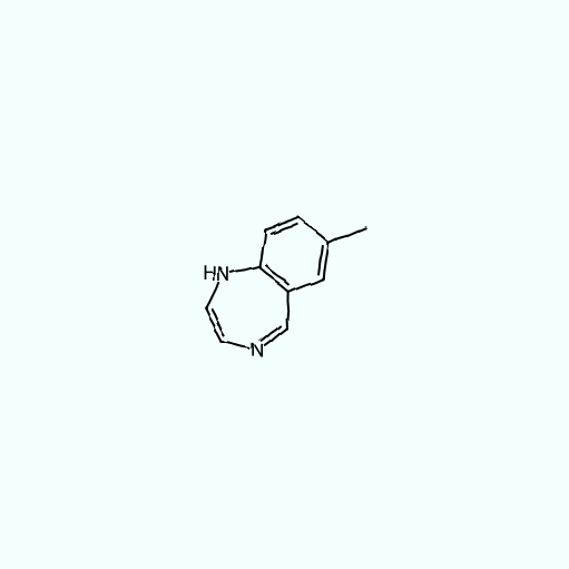 Cc1ccc2c(c1)C=NC=CN2